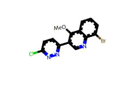 COc1c(-c2ccc(Cl)nn2)cnc2c(Br)cccc12